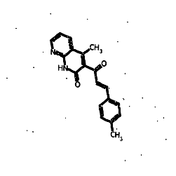 Cc1ccc(/C=C/C(=O)c2c(C)c3cccnc3[nH]c2=O)cc1